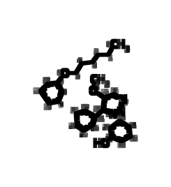 CCCCCCOc1ccccc1.COc1cnnnc1-c1ccccc1.Oc1ccccc1